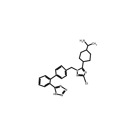 CCc1nc(C2CCC(C(C)N)CC2)n(Cc2ccc(-c3ccccc3-c3nnn[nH]3)cc2)n1